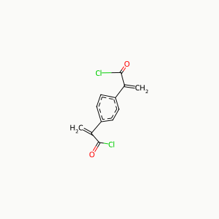 C=C(C(=O)Cl)c1ccc(C(=C)C(=O)Cl)cc1